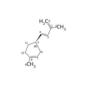 C=C(C)C=C[C@H]1CC=C(C)CC1